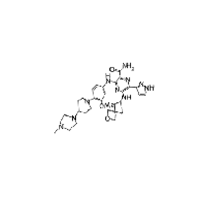 COc1cc(Nc2nc(NC3CC4(COC4)C3)c(-c3cc[nH]n3)nc2C(N)=O)ccc1N1CCC(N2CCN(C)CC2)CC1